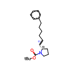 CC(C)(C)OC(=O)N1CCC[C@H]1/C=C/CCCCc1ccccc1